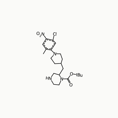 Cc1cc([N+](=O)[O-])c(Cl)cc1N1CCC(CC2CNCCN2C(=O)OC(C)(C)C)CC1